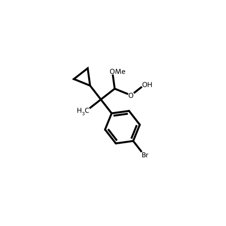 COC(OO)C(C)(c1ccc(Br)cc1)C1CC1